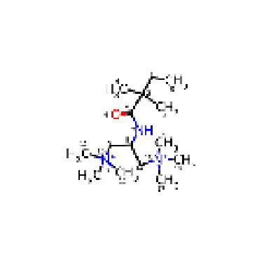 CCC(C)(C)C(=O)NC(C[N+](C)(C)C)C[N+](C)(C)C